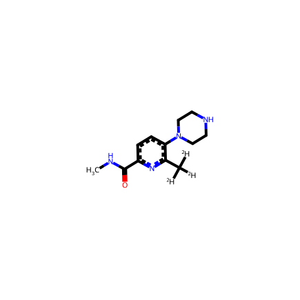 [2H]C([2H])([2H])c1nc(C(=O)NC)ccc1N1CCNCC1